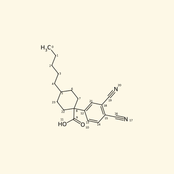 CCCCCC1CCC(C(=O)O)(c2ccc(C#N)c(C#N)c2)CC1